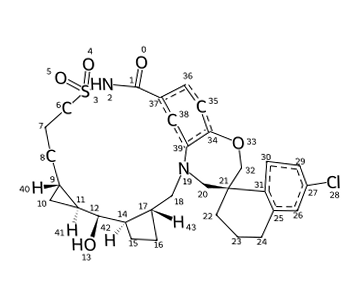 O=C1NS(=O)(=O)CCC[C@H]2C[C@@H]2[C@H](O)[C@@H]2CC[C@H]2CN2C[C@@]3(CCCc4cc(Cl)ccc43)COc3ccc1cc32